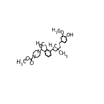 CCc1c(CCC(C)(C)CCc2ccc(O)c(OC)c2)cccc1C(=O)N1CCN(C(=O)OC)CC1